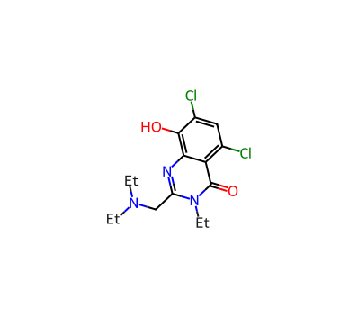 CCN(CC)Cc1nc2c(O)c(Cl)cc(Cl)c2c(=O)n1CC